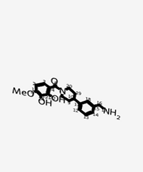 COc1ccc(C(=O)N2CCC(c3cccc(CN)c3)CC2)c(O)c1O